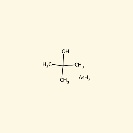 CC(C)(C)O.[AsH3]